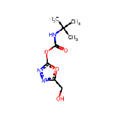 CC(C)(C)NC(=O)Oc1nnc(CO)o1